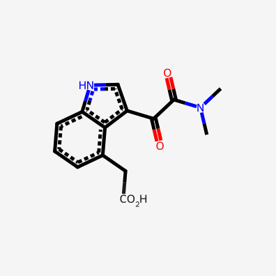 CN(C)C(=O)C(=O)c1c[nH]c2cccc(CC(=O)O)c12